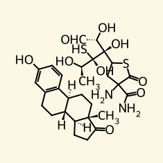 C[C@@H](O)[C@](O)(S)[C@@](O)(C1CC(N)(C(N)=O)C(=O)S1)[C@@H](O)C=O.C[C@]12CC[C@@H]3c4ccc(O)cc4CC[C@H]3[C@@H]1CCC2=O